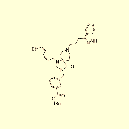 CC/C=C\C=C/CN1CN(Cc2cccc(C(=O)OC(C)(C)C)c2)C(=O)C12CCN(CCCc1n[nH]c3ccccc13)CC2